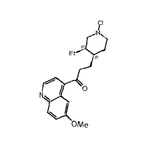 CC[C@H]1CN(Cl)CC[C@H]1CCC(=O)c1ccnc2ccc(OC)cc12